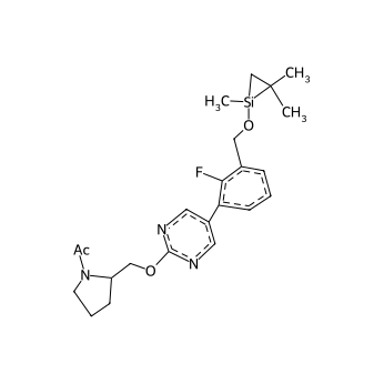 CC(=O)N1CCCC1COc1ncc(-c2cccc(CO[Si]3(C)CC3(C)C)c2F)cn1